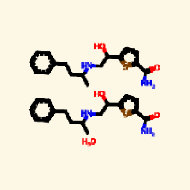 CC(CCc1ccccc1)NCC(O)c1ccc(C(N)=O)s1.CC(CCc1ccccc1)NCC(O)c1ccc(C(N)=O)s1.O